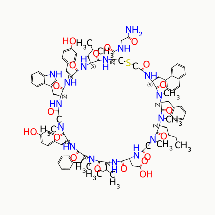 CCCC[C@H]1C(=O)N(C)CC(=O)NC(CC(=O)O)C(=O)N[C@@H](C(C)C)C(=O)N(C)[C@@H](Cc2ccccc2)C(=O)N[C@@H](Cc2ccc(O)cc2)C(=O)N(C)CC(=O)N[C@@H](Cc2c[nH]c3ccccc23)C(=O)N[C@@H](Cc2ccc(O)cc2)C(=O)N[C@@H](CC(C)C)C(=O)N[C@H](C(=O)NCC(N)=O)CSCC(=O)N[C@@H](Cc2cccc3ccccc23)C(=O)N(C)[C@@H](Cc2ccccc2)C(=O)N1C